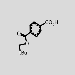 CC(C)(C)COC(=O)c1ccc(C(=O)O)cc1